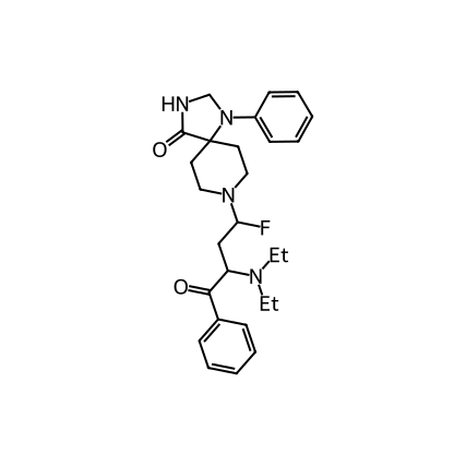 CCN(CC)C(CC(F)N1CCC2(CC1)C(=O)NCN2c1ccccc1)C(=O)c1ccccc1